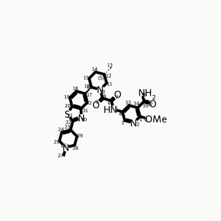 COc1ncc(NC(=O)C(=O)N2C[C@@H](C)CC[C@@H]2c2ccc3sc(C4=CCN(C)CC4)nc3c2)cc1C(N)=O